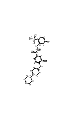 CCS(=O)(=O)c1ccc(Cl)cc1CNC(=O)c1ccc(CN2CCN(C3CCOCC3)CC2)c(Br)c1